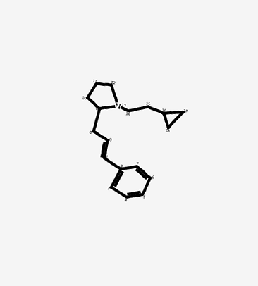 C(=C\c1ccccc1)/CC1CCCN1CCC1CC1